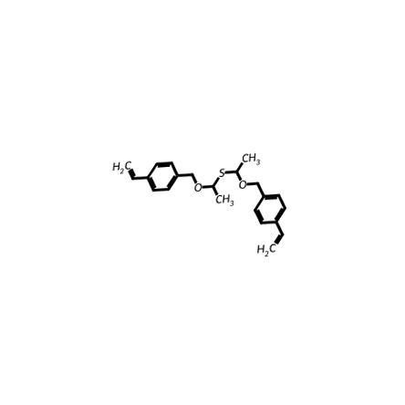 C=Cc1ccc(COC(C)SC(C)OCc2ccc(C=C)cc2)cc1